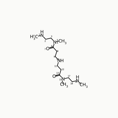 CNCCN(C)C(=O)CCNCCC(=O)N(C)CCNC